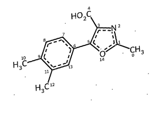 Cc1nc(C(=O)O)c(-c2ccc(C)c(C)c2)o1